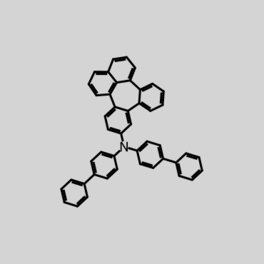 c1ccc(-c2ccc(N(c3ccc(-c4ccccc4)cc3)c3ccc4c(c3)-c3ccccc3-c3cccc5cccc-4c35)cc2)cc1